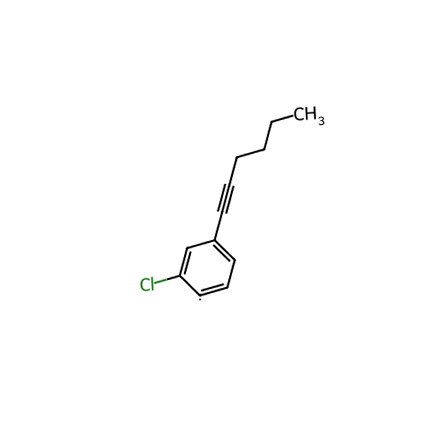 CCCCC#Cc1cc[c]c(Cl)c1